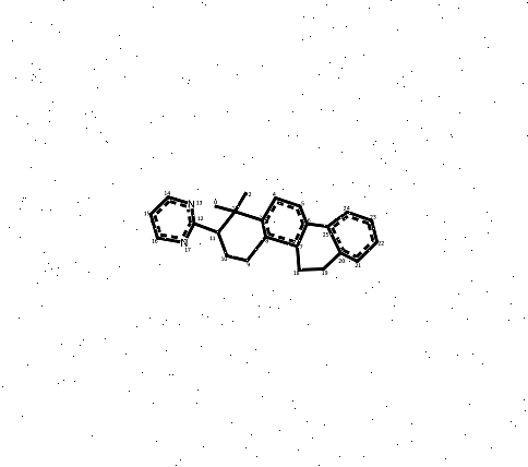 CC1(C)c2ccc3c(c2CCC1c1ncccn1)CCc1ccccc1-3